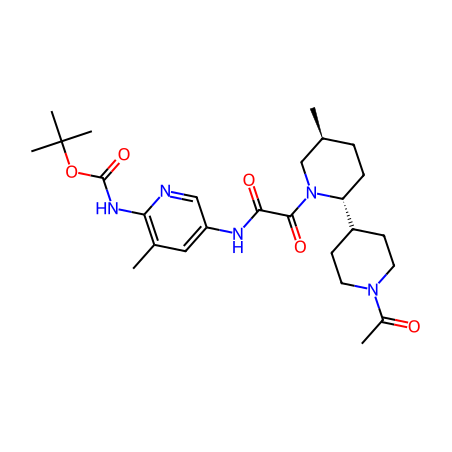 CC(=O)N1CCC([C@H]2CC[C@H](C)CN2C(=O)C(=O)Nc2cnc(NC(=O)OC(C)(C)C)c(C)c2)CC1